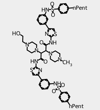 CCCCCc1ccc(S(=O)(=O)Nc2cccc(-c3csc(NC(=O)C(C(C(=O)Nc4nc(-c5cccc(NS(=O)(=O)c6ccc(CCCCC)cc6)c5)cs4)N4CCN(CCO)CC4)N4CCN(C)CC4)n3)c2)cc1